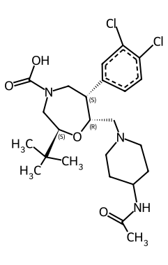 CC(=O)NC1CCN(C[C@@H]2O[C@@H](C(C)(C)C)CN(C(=O)O)C[C@@H]2c2ccc(Cl)c(Cl)c2)CC1